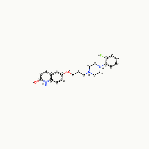 O=c1ccc2cc(OCCCN3CCN(c4ccccc4F)CC3)ccc2[nH]1